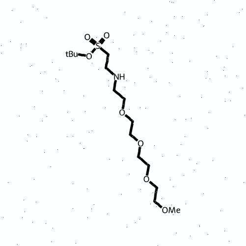 COCCOCCOCCOCCNCCS(=O)(=O)OC(C)(C)C